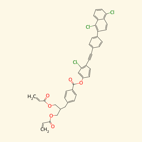 C=CC(=O)OCC(COC(=O)C=C)Cc1ccc(C(=O)Oc2ccc(C#Cc3ccc(-c4ccc5c(Cl)cccc5c4Cl)cc3)c(Cl)c2)cc1